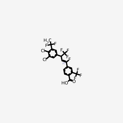 CC(F)(F)c1cc(C(/C=C(\F)c2ccc(C(=O)O)c(C(F)(F)F)c2)C(F)(F)F)cc(Cl)c1Cl